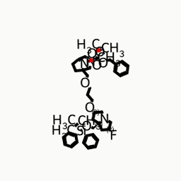 CC(C)(C)OC(=O)N1C2CCC1(COCCCO[C@H]1CN3C[C@H](F)C[C@]3(CO[Si](c3ccccc3)(c3ccccc3)C(C)(C)C)C1)CN(C(=O)OCc1ccccc1)C2